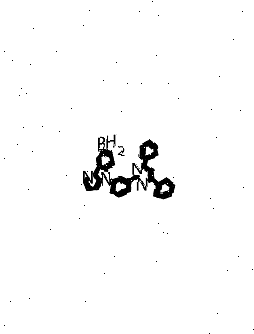 Bc1ccc2c(c1)c1ncccc1n2-c1cccc(-c2nc(-c3ccccc3)cc(-c3ccccc3)n2)c1